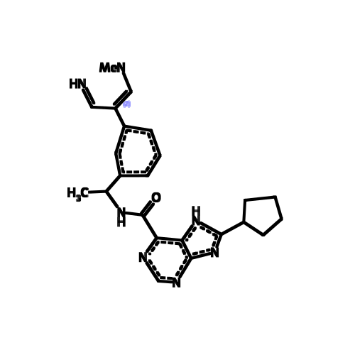 CN/C=C(\C=N)c1cccc(C(C)NC(=O)c2ncnc3nc(C4CCCC4)[nH]c23)c1